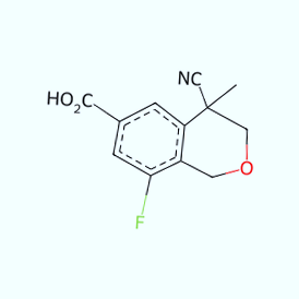 CC1(C#N)COCc2c(F)cc(C(=O)O)cc21